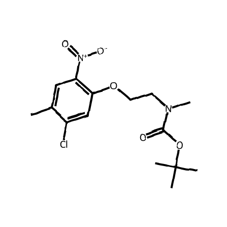 Cc1cc([N+](=O)[O-])c(OCCN(C)C(=O)OC(C)(C)C)cc1Cl